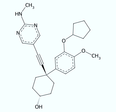 CNc1ncc(C#C[C@]2(c3ccc(OC)c(OC4CCCC4)c3)CC[C@@H](O)CC2)cn1